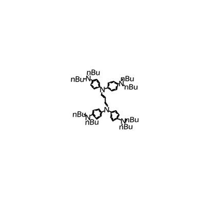 CCCCN(CCCC)c1ccc(N(/C=C/C=C/N(c2ccc(N(CCCC)CCCC)cc2)c2ccc(N(CCCC)CCCC)cc2)c2ccc(N(CCCC)CCCC)cc2)cc1